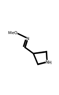 CON=CC1CNC1